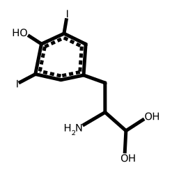 NC(Cc1cc(I)c(O)c(I)c1)C(O)O